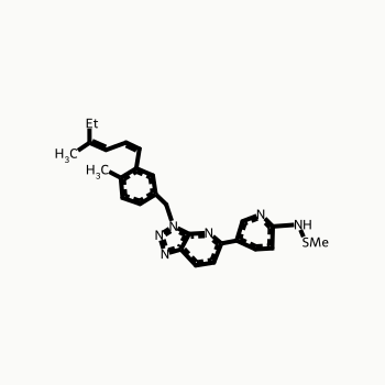 CC/C(C)=C\C=C/c1cc(Cn2nnc3ccc(-c4ccc(NSC)nc4)nc32)ccc1C